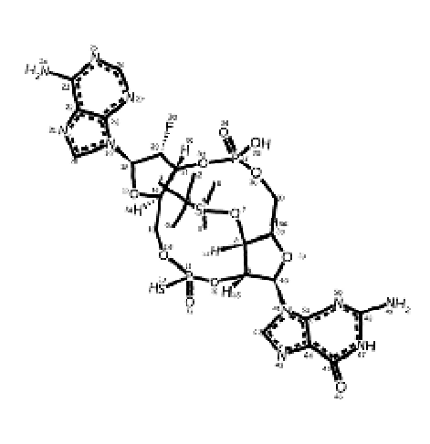 CC(C)(C)[Si](C)(C)O[C@H]1[C@H]2OP(=O)(S)OC[C@H]3O[C@@H](n4cnc5c(N)ncnc54)[C@H](F)[C@@H]3OP(=O)(O)OC[C@H]1O[C@H]2n1cnc2c(=O)[nH]c(N)nc21